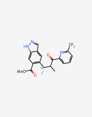 COC(=O)c1cc2[nH]ncc2cc1[C@@H](C)C(C)C(=O)c1cccc(C(F)(F)F)n1